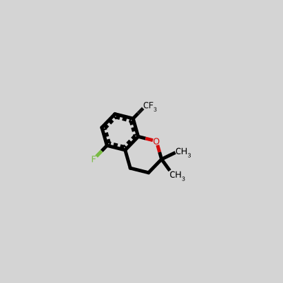 CC1(C)CCc2c(F)ccc(C(F)(F)F)c2O1